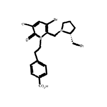 CC(C)C[C@H]1CCCN1Cc1c(Br)cc(Cl)c(=O)n1CCc1ccc(C(=O)O)cc1